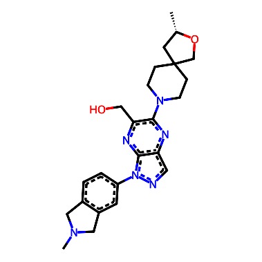 C[C@H]1CC2(CCN(c3nc4cnn(-c5ccc6c(c5)CN(C)C6)c4nc3CO)CC2)CO1